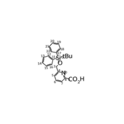 CC(C)(C)[Si](OCc1cccc(C(=O)O)n1)(c1ccccc1)c1ccccc1